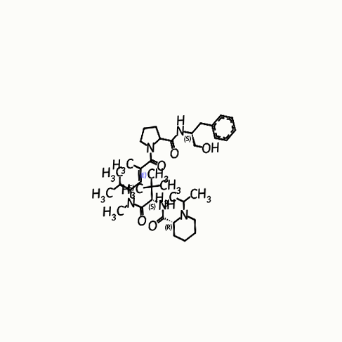 C/C(=C\[C@H](C(C)C)N(C)C(=O)[C@@H](NC(=O)[C@H]1CCCCN1C(C)C)C(C)(C)C)C(=O)N1CCCC1C(=O)N[C@H](CO)Cc1ccccc1